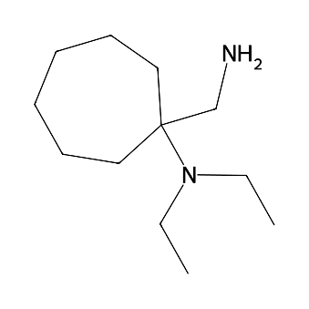 CCN(CC)C1(CN)CCCCCC1